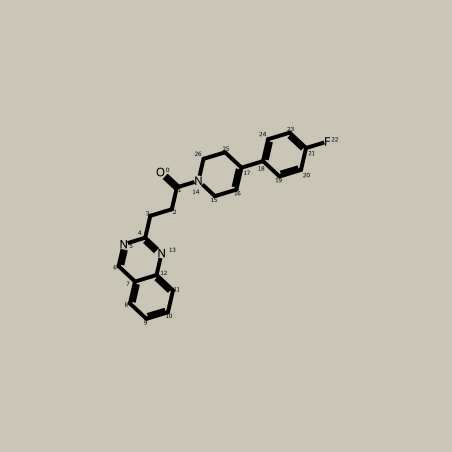 O=C(CCc1ncc2ccccc2n1)N1CC=C(c2ccc(F)cc2)CC1